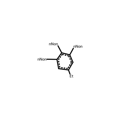 [CH2]Cc1cc(CCCCCCCCC)c(CCCCCCCCC)c(CCCCCCCCC)c1